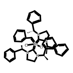 C[C@H](c1ccccc1)N1CCN([C@H](C)c2ccccc2)[C]1=[Ru]([Cl])([Cl])(=[CH]c1ccccc1)=[C]1N([C@H](C)c2ccccc2)CCN1[C@H](C)c1ccccc1